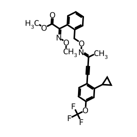 CO/N=C(/C(=O)OC)c1ccccc1CO/N=C(\C)C#Cc1ccc(OC(F)(F)F)cc1C1CC1